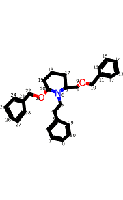 c1ccc(CCN2C(COCc3ccccc3)CCCC2OCc2ccccc2)cc1